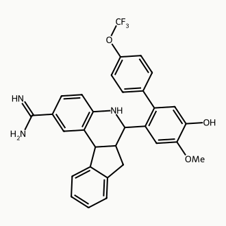 COc1cc(C2Nc3ccc(C(=N)N)cc3C3c4ccccc4CC23)c(-c2ccc(OC(F)(F)F)cc2)cc1O